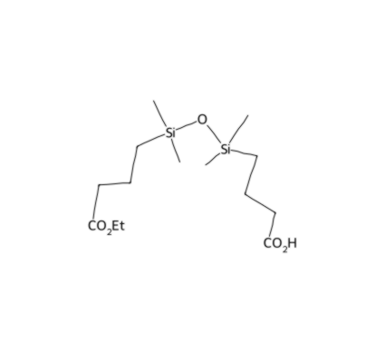 CCOC(=O)CCC[Si](C)(C)O[Si](C)(C)CCCC(=O)O